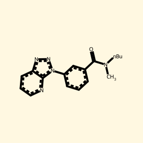 CCCCN(C)C(=O)c1cccc(-n2nnc3cccnc32)c1